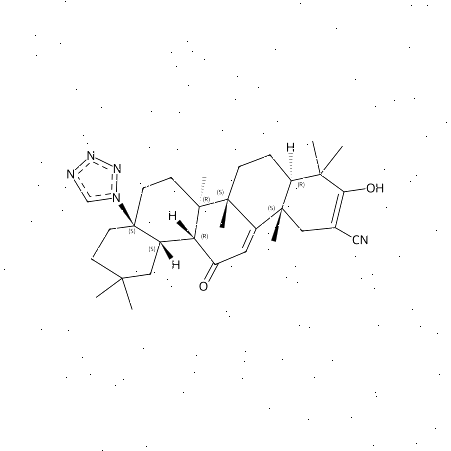 CC1(C)CC[C@]2(n3cnnn3)CC[C@]3(C)[C@H](C(=O)C=C4[C@@]5(C)CC(C#N)=C(O)C(C)(C)[C@@H]5CC[C@]43C)[C@@H]2C1